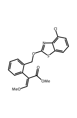 CO/C=C(/C(=O)OC)c1ccccc1COc1nc2c(Cl)cccc2s1